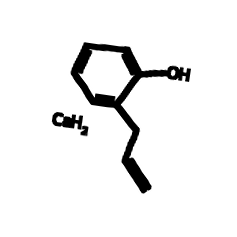 C=CCc1ccccc1O.[CaH2]